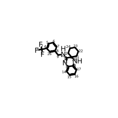 FC(F)(F)c1cccc(CNC2=Nc3ccccc3NC23CCCCC3)c1